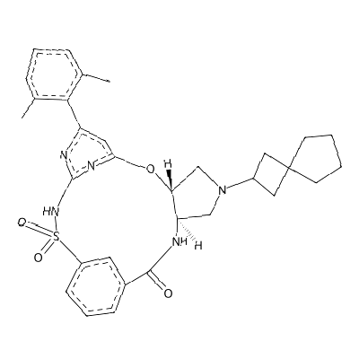 Cc1cccc(C)c1-c1cc2nc(n1)NS(=O)(=O)c1cccc(c1)C(=O)N[C@@H]1CN(C3CC4(CCCC4)C3)C[C@H]1O2